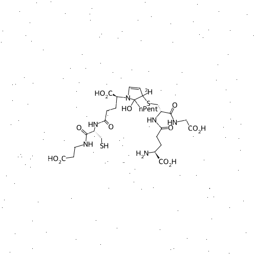 [2H]C1(SC[C@@H](NC(=O)CC[C@H](N)C(=O)O)C(=O)NCC(=O)O)C=CN([C@@H](CCC(=O)N[C@H](CS)C(=O)NCCC(=O)O)C(=O)O)C1(O)CCCCC